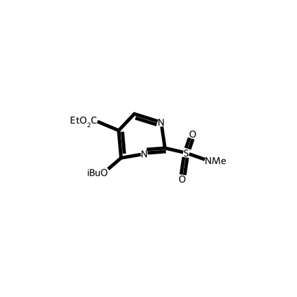 CCOC(=O)c1cnc(S(=O)(=O)NC)nc1OCC(C)C